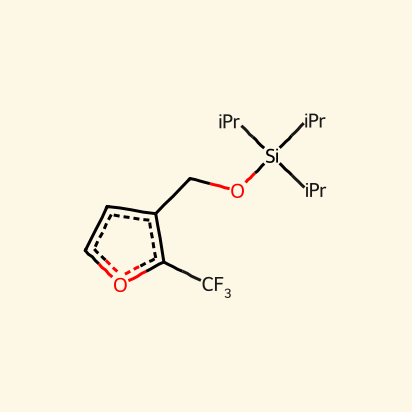 CC(C)[Si](OCc1ccoc1C(F)(F)F)(C(C)C)C(C)C